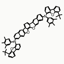 Cc1cc(N(c2ccc3cc4c(cc3c2)oc2c4ccc3c4cc5ccc(N(c6cc(C)c(C)c(C)c6)c6cccc7c6oc6c(C(C)(C)C)cccc67)cc5cc4oc32)c2cccc3c2oc2c(C(C)(C)C)cccc23)cc(C)c1C